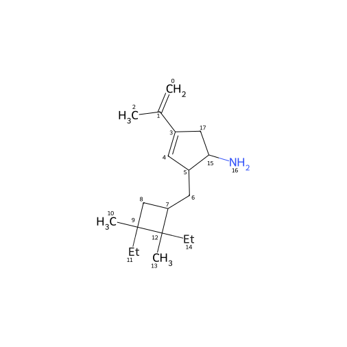 C=C(C)C1=CC(CC2CC(C)(CC)C2(C)CC)C(N)C1